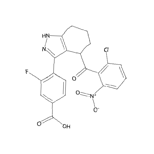 O=C(O)c1ccc(-c2n[nH]c3c2C(C(=O)c2c(Cl)cccc2[N+](=O)[O-])CCC3)c(F)c1